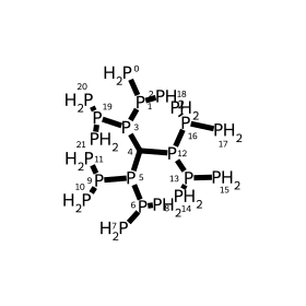 PP(P)P(C(P(P(P)P)P(P)P)P(P(P)P)P(P)P)P(P)P